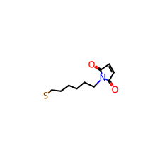 O=C1C=CC(=O)N1CCCCCC[S]